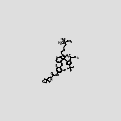 CC(C)n1nc(C(F)(F)F)cc1-c1cn(COCC[Si](C)(C)C)c2nccc(Oc3c(F)cc(NC(=O)NCC4(F)COC4)cc3F)c12